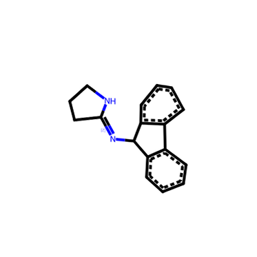 c1ccc2c(c1)-c1ccccc1C2/N=C1/CCCN1